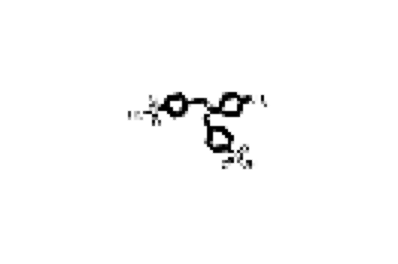 C=C1C=CC(=[N+](Cc2ccc(S(=O)(=O)O)cc2)Cc2ccc(S(=O)(=O)O)cc2)C=C1